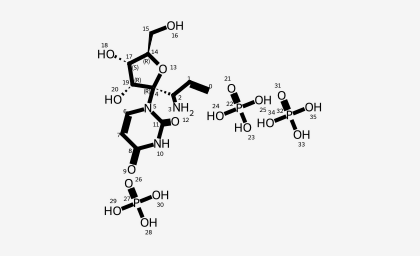 C=CC(N)[C@@]1(n2ccc(=O)[nH]c2=O)O[C@H](CO)[C@@H](O)[C@H]1O.O=P(O)(O)O.O=P(O)(O)O.O=P(O)(O)O